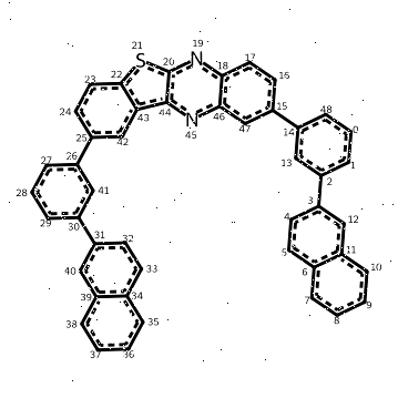 c1cc(-c2ccc3ccccc3c2)cc(-c2ccc3nc4sc5ccc(-c6cccc(-c7ccc8ccccc8c7)c6)cc5c4nc3c2)c1